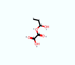 CCC(O)OC(=O)C(=O)O